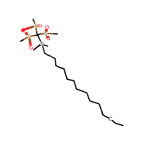 CCCCCCCCCCCCCC[Si](C)(C)C(S(C)(=O)=O)(S(C)(=O)=O)S(C)(=O)=O